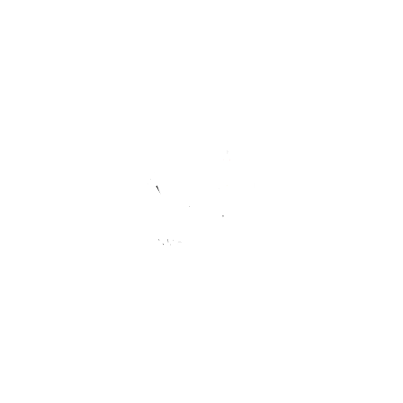 CNC[C@@H](C)CCS(C)(=O)=O